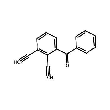 C#Cc1cccc(C(=O)c2ccccc2)c1C#C